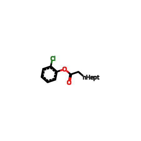 CCCCCCCCC(=O)Oc1ccccc1Cl